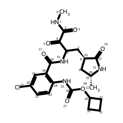 CNC(=O)C(=O)C(C[C@@H]1C[C@@H](C)NC1=O)NC(=O)c1cc(Cl)ccc1NC(=O)OC1CCC1